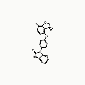 Cc1ccc(Oc2cnc(-n3c(=O)[nH]c4cccnc43)cn2)c2c1OCC21CC1